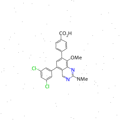 CNc1ncc2c(-c3cc(Cl)cc(Cl)c3)cc(-c3ccc(C(=O)O)cc3)c(OC)c2n1